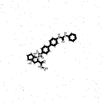 O=C(Nc1ccccc1)Nc1ccc(-c2ccc(S(=O)(=O)N3C(C(=O)NO)C[C@H]4CCC[C@H]43)cc2)cc1